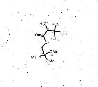 CO[Si](COC(=O)C(C)C(C)(C)C#N)(OC)OC